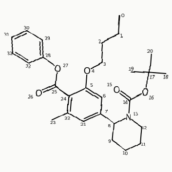 CCCCOc1cc(C2CCCCN2C(=O)OC(C)(C)C)cc(C)c1C(=O)Oc1ccccc1